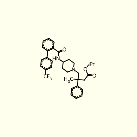 CC(C)OC(=O)CC(C)(CN1CCC(NC(=O)c2ccccc2-c2ccc(C(F)(F)F)cc2)CC1)c1ccccc1